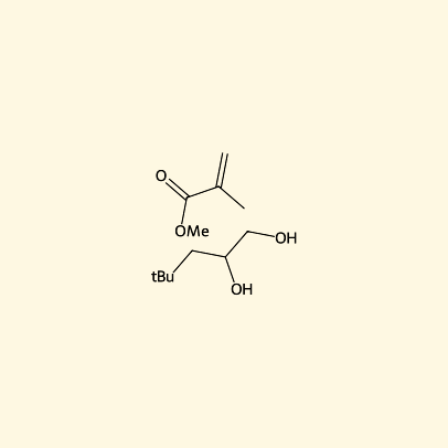 C=C(C)C(=O)OC.CC(C)(C)CC(O)CO